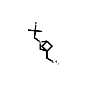 CC(C)(F)CN1CC2(CN)CC1C2